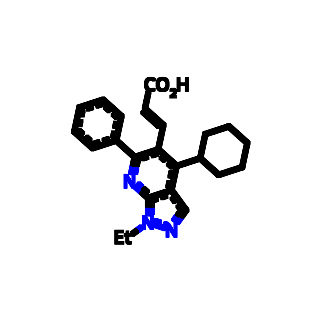 CCn1ncc2c(C3CCCCC3)c(/C=C/C(=O)O)c(-c3ccccc3)nc21